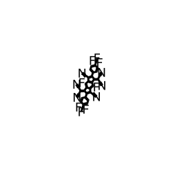 N#CC(C#N)=C1C(c2ccc(C(F)(F)F)cc2)=C(C#N)c2c(F)c3c(c(F)c21)C(C#N)=C(c1ccc(C(F)(F)F)cc1)C3=C(C#N)C#N